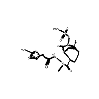 CN(NC(=O)Cc1csc(N)n1)C(=O)[C@@H]1CC[C@@H]2CN1C(=O)N2OS(=O)(=O)O